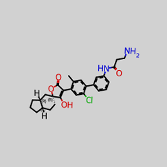 Cc1cc(-c2cccc(NC(=O)CCN)c2)c(Cl)cc1C1=C(O)[C@]2(CC[C@@H]3CCC[C@@H]3C2)OC1=O